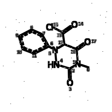 CN1C(=O)NN(c2ccccc2)C(C(=O)Cl)C1=O